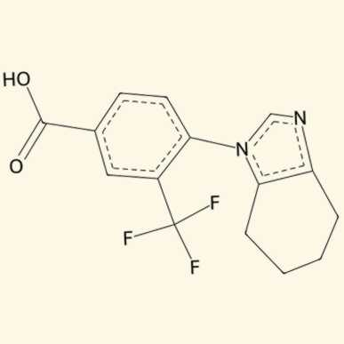 O=C(O)c1ccc(-n2cnc3c2CCCC3)c(C(F)(F)F)c1